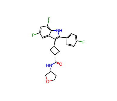 O=C(N[C@@H]1CCOC1)[C@H]1C[C@H](c2c(-c3ccc(F)cc3)[nH]c3c(F)cc(F)cc32)C1